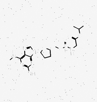 CNc1nc(N)nc2c1ncn2[C@@H]1O[C@H](CO[PH](=O)N[C@@H](C)C(=O)OC(C)C)C[C@@H]1C